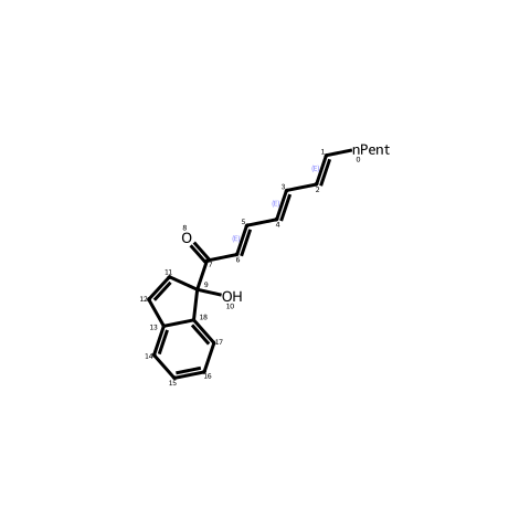 CCCCC/C=C/C=C/C=C/C(=O)C1(O)C=Cc2ccccc21